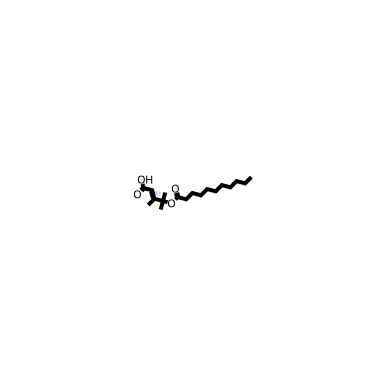 CCCCCCCCCCC(=O)OC(C)(C)/C(C)=C/C(=O)O